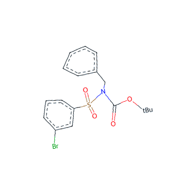 CC(C)(C)OC(=O)N(Cc1ccccc1)S(=O)(=O)c1cccc(Br)c1